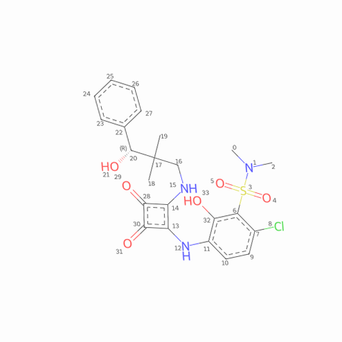 CN(C)S(=O)(=O)c1c(Cl)ccc(Nc2c(NCC(C)(C)[C@H](O)c3ccccc3)c(=O)c2=O)c1O